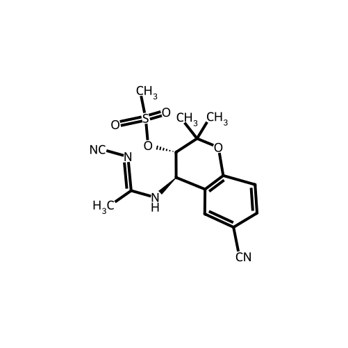 CC(=NC#N)N[C@@H]1c2cc(C#N)ccc2OC(C)(C)[C@H]1OS(C)(=O)=O